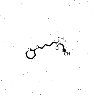 C#CC[N+](C)(C)CCCCOC1CCCCO1